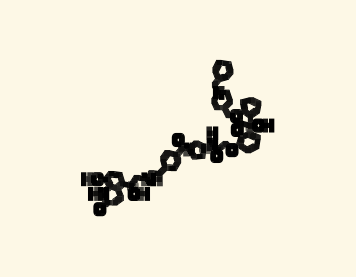 O=C(COc1cccc([C@](O)(C(=O)OCC2CCN(Cc3ccccc3)CC2)c2ccccc2)c1)N[C@@H]1CCN(C(=O)c2ccc(CCNC[C@H](O)c3ccc(O)c4[nH]c(=O)ccc34)cc2)C1